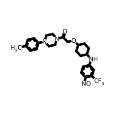 Cc1ccc(N2CCN(C(=O)COC3CCC(Nc4ccc(N=O)c(C(F)(F)F)c4)CC3)CC2)cc1